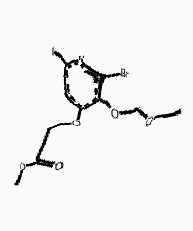 COCOc1c(OCC(=O)OC)cc(I)nc1Br